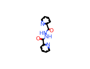 O=C(NNC(=O)c1ccccn1)c1ccccn1